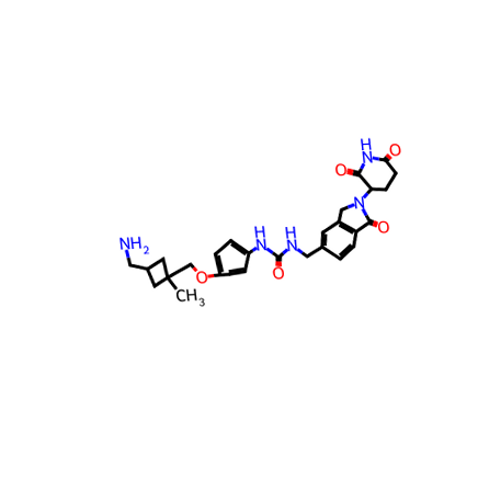 CC1(COc2ccc(NC(=O)NCc3ccc4c(c3)CN(C3CCC(=O)NC3=O)C4=O)cc2)CC(CN)C1